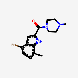 Cc1ccc(Br)c2cc(C(=O)N3CCN(C)CC3)[nH]c12